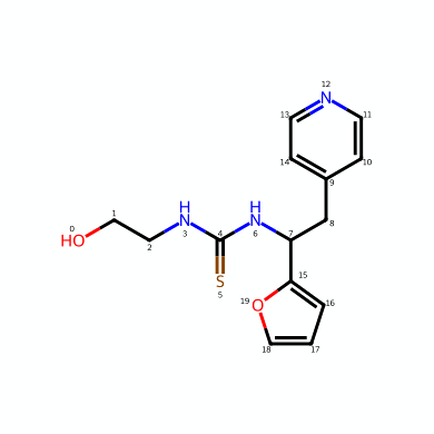 OCCNC(=S)NC(Cc1ccncc1)c1ccco1